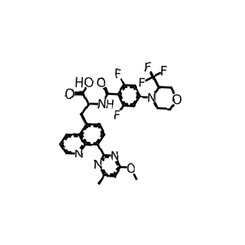 COc1cc(C)nc(-c2ccc(CC(NC(=O)c3c(F)cc(N4CCOCC4C(F)(F)F)cc3F)C(=O)O)c3cccnc23)n1